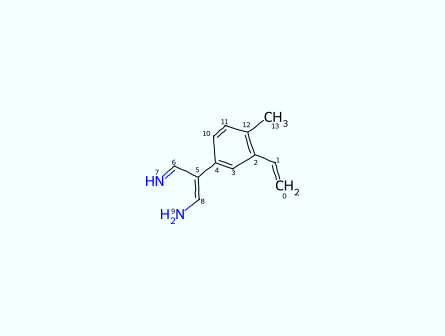 C=Cc1cc(/C(C=N)=C/N)ccc1C